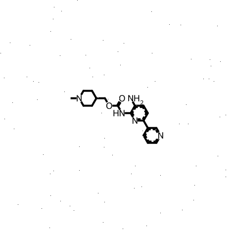 CN1CCC(COC(=O)Nc2nc(-c3cccnc3)ccc2N)CC1